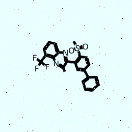 Cc1nc2c(C(F)(F)F)cccc2nc1-c1cc(-c2ccccc2)ccc1S(C)(=O)=O